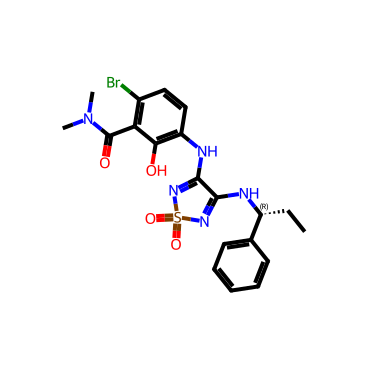 CC[C@@H](NC1=NS(=O)(=O)N=C1Nc1ccc(Br)c(C(=O)N(C)C)c1O)c1ccccc1